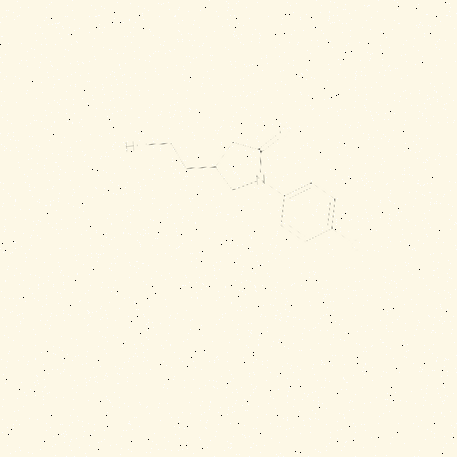 O=C1CC(CCO)CN1c1ccc(Cl)cc1